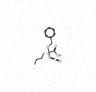 CCCC[C@](N=C=O)(OCc1ccccc1)C(=O)O